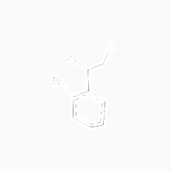 [O]CC(Cl)c1ccccc1Br